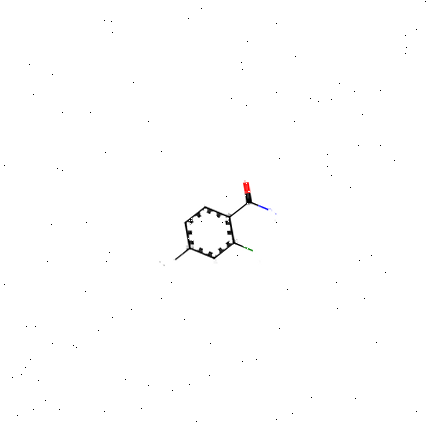 N#Cc1ccc(C(N)=O)c(Cl)c1